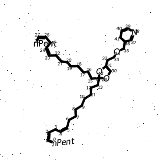 CCCCC/C=C\C/C=C\CCCCCCCCC1(CCCCCCCC/C=C\C/C=C\CCCCC)OCC(CCOCC2C=NC=CC2)O1